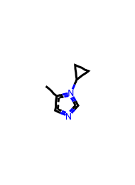 Cc1cncn1C1CC1